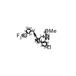 COCc1nnc2n1Cc1c(C#CCc3cccc(OC(F)(F)F)c3)ncn1-c1ccc(Cl)cc1-2